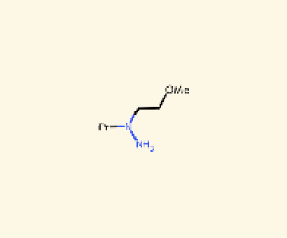 COCCN(N)C(C)C